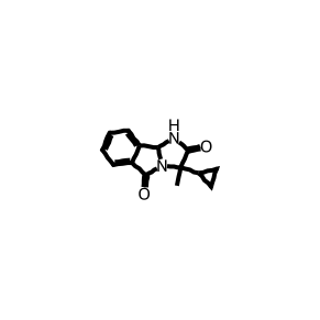 CC1(C2CC2)C(=O)NC2c3ccccc3C(=O)N21